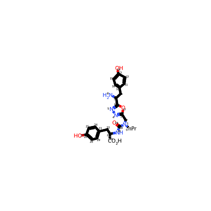 CCCN(Cc1nnc(C(N)Cc2ccc(O)cc2)o1)C(=O)NC(Cc1ccc(O)cc1)C(=O)O